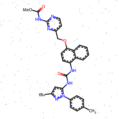 COC(=O)Nc1nccc(COc2ccc(NC(=O)Nc3cc(C(C)(C)C)nn3-c3ccc(C)cc3)c3ccccc23)n1